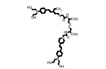 C=CC(/C=C/c1ccc(N(CCO)CCO)cc1)=C\C=N\CC(=O)NC(C=O)CSSCC(C=O)NC(=O)C[n+]1ccc(/C=C/c2ccc(N(CCO)CCO)cc2)cc1